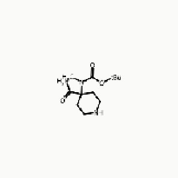 CN(C(=O)OC(C)(C)C)C1(C(N)=O)CCNCC1